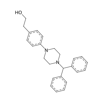 OCCc1ccc(N2CCN(C(c3ccccc3)c3ccccc3)CC2)cc1